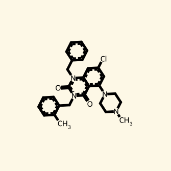 Cc1ccccc1Cn1c(=O)c2c(N3CCN(C)CC3)cc(Cl)cc2n(Cc2ccccc2)c1=O